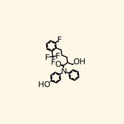 O=C(C(CO)CCCc1c(F)cccc1C(F)(F)F)N(c1ccccc1)c1ccc(O)cc1